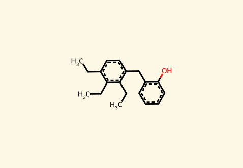 CCc1ccc(Cc2ccccc2O)c(CC)c1CC